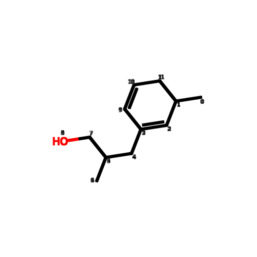 CC1C=C(CC(C)CO)C=CC1